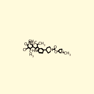 Cc1c(-c2[nH]c3ccc(C4CCN(C(=O)O[C@H]5CCN(C)C5)CC4)cc3c2C(C)C)cn(C)c(=O)c1Cl